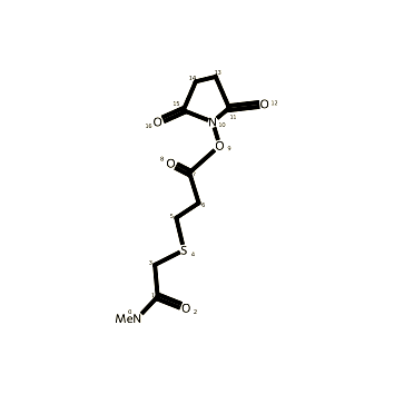 CNC(=O)CSCCC(=O)ON1C(=O)CCC1=O